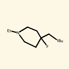 CCN1CCC(F)(CC(C)(C)C)CC1